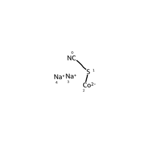 N#C[S][Co-2].[Na+].[Na+]